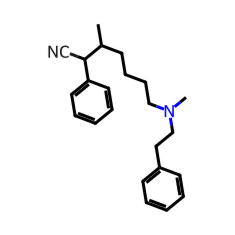 CC(CCCCN(C)CCc1ccccc1)C(C#N)c1ccccc1